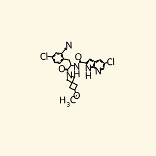 COC1CC2(C1)CN(C(=O)C(Cc1ccc(Cl)cc1C#N)NC(=O)c1cc3cc(Cl)cnc3[nH]1)C2